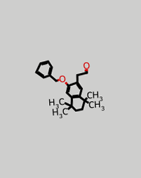 CC1(C)CCC(C)(C)c2cc(OCc3ccccc3)c(CC=O)cc21